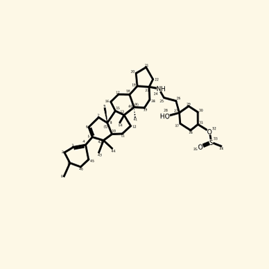 CC1CC=C(C2=CC[C@@]3(C)C(CCC4(C)C3CCC3C5CCCC5(NCCC5(O)CCC(OS(C)=O)CC5)CC[C@]34C)C2(C)C)CC1